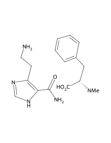 CN[C@@H](Cc1ccccc1)C(=O)O.NCCc1nc[nH]c1C(N)=O